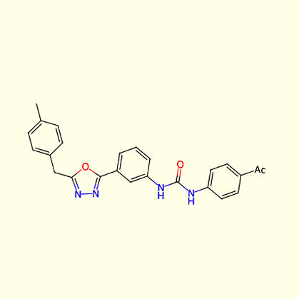 CC(=O)c1ccc(NC(=O)Nc2cccc(-c3nnc(Cc4ccc(C)cc4)o3)c2)cc1